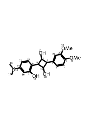 COc1ccc(C2C(O)C(c3ccc(N(C)C)cc3O)C2O)cc1OC